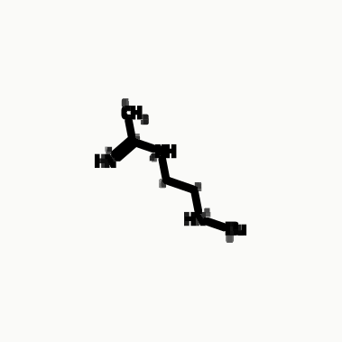 CCC(C)NCCNC(C)=N